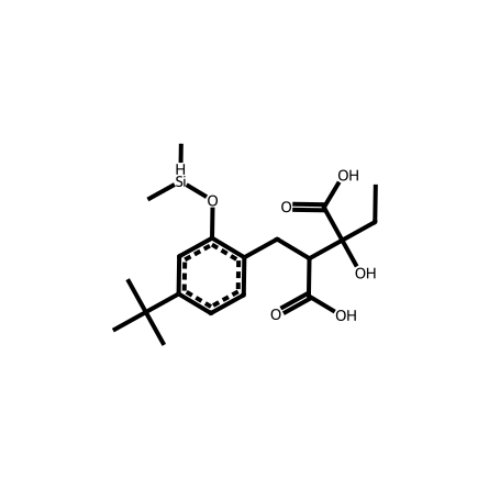 CCC(O)(C(=O)O)C(Cc1ccc(C(C)(C)C)cc1O[SiH](C)C)C(=O)O